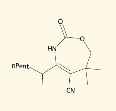 CCCCCC(C)C1=C(C#N)C(C)(C)COC(=O)N1